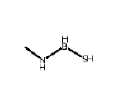 CNBS